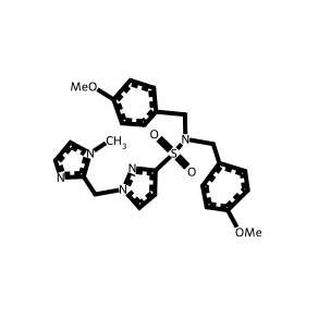 COc1ccc(CN(Cc2ccc(OC)cc2)S(=O)(=O)c2ccn(Cc3nccn3C)n2)cc1